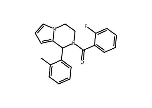 Cc1ccccc1C1c2cccn2CCN1C(=O)c1ccccc1F